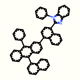 c1ccc(-c2c3ccccc3c(-c3cccc4ccccc34)c3ccc(-c4ccc(-c5nc6ccccc6n5-c5ccccc5)c5ccccc45)cc23)cc1